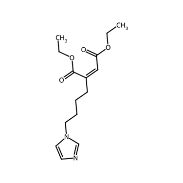 CCOC(=O)C=C(CCCCn1ccnc1)C(=O)OCC